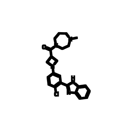 CN1CCCN(C(=O)C2CN(c3ccc(Cl)c(-c4nc5ccccc5[nH]4)c3)C2)CC1